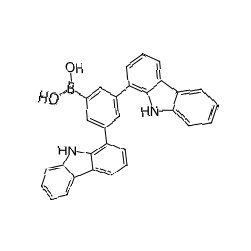 OB(O)c1cc(-c2cccc3c2[nH]c2ccccc23)cc(-c2cccc3c2[nH]c2ccccc23)c1